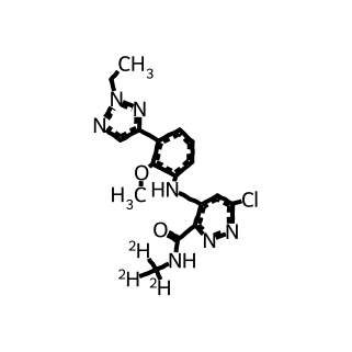 [2H]C([2H])([2H])NC(=O)c1nnc(Cl)cc1Nc1cccc(-c2cnn(CC)n2)c1OC